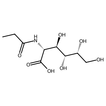 CCC(=O)N[C@@H](C(=O)O)[C@@H](O)[C@@H](O)[C@H](O)CO